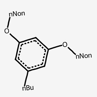 [CH2]CCCc1cc(OCCCCCCCCC)cc(OCCCCCCCCC)c1